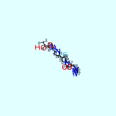 CC(C)C(O)[C@H]1CC(c2ccc(-c3ccc(N4CC(Cn5ccnn5)OC4=O)cc3F)cn2)=NO1